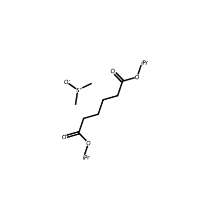 CC(C)OC(=O)CCCCC(=O)OC(C)C.C[S+](C)[O-]